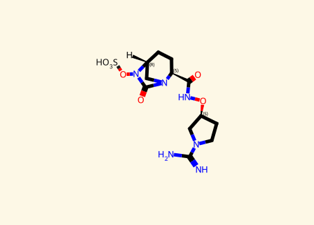 N=C(N)N1CC[C@H](ONC(=O)[C@@H]2CC[C@@H]3CN2C(=O)N3OS(=O)(=O)O)C1